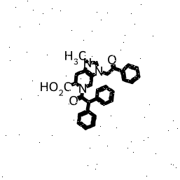 CN1CN(CC(=O)c2ccccc2)C2=C1CC(C(=O)O)N(C(=O)C(c1ccccc1)c1ccccc1)C2